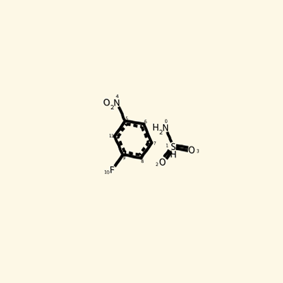 N[SH](=O)=O.O=[N+]([O-])c1cccc(F)c1